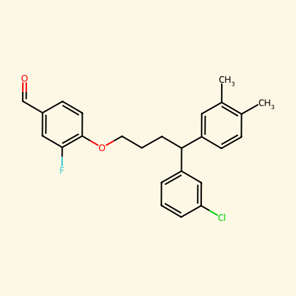 Cc1ccc(C(CCCOc2ccc(C=O)cc2F)c2cccc(Cl)c2)cc1C